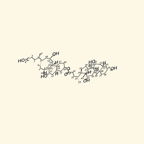 C[C@H](CCC(=O)O)[C@H]1CC[C@H](C)[C@@H]2[C@@H](O)C[C@@H]3C[C@H](OC(=O)CC[C@@H](C)[C@H]4CC[C@H]5[C@@H]6[C@H](O)C[C@@H]7C[C@H](O)CC[C@]7(C)[C@H]6C[C@H](O)[C@]45C)CC[C@]3(C)[C@H]2C[C@H](O)C1